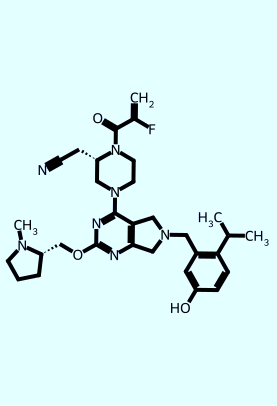 C=C(F)C(=O)N1CCN(c2nc(OC[C@@H]3CCCN3C)nc3c2CN(Cc2cc(O)ccc2C(C)C)C3)C[C@@H]1CC#N